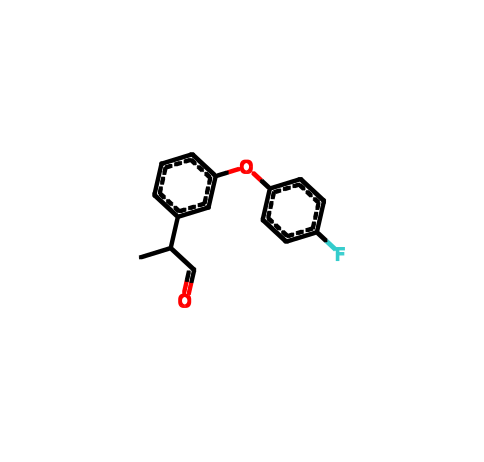 CC(C=O)c1cccc(Oc2ccc(F)cc2)c1